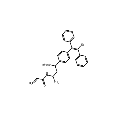 C=CC(=O)NC(C)CC(CCCCC)c1ccc(C(=C(CC)c2ccccc2)c2ccccc2)cc1